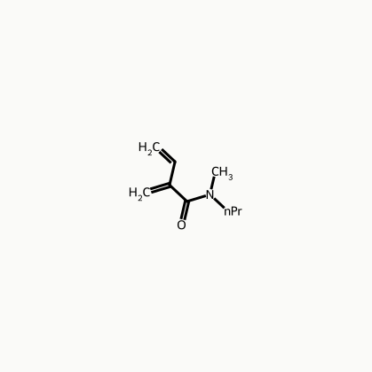 C=CC(=C)C(=O)N(C)CCC